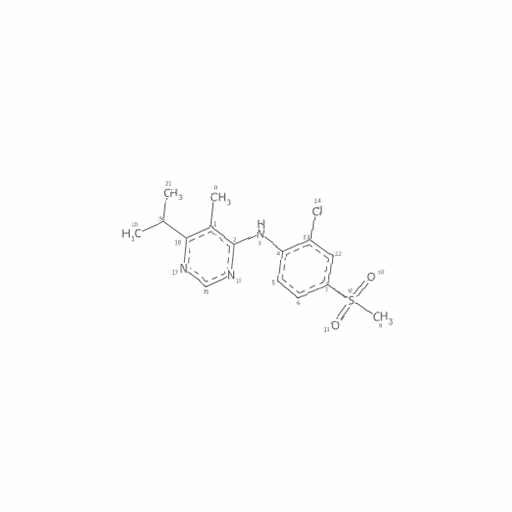 Cc1c(Nc2ccc(S(C)(=O)=O)cc2Cl)ncnc1C(C)C